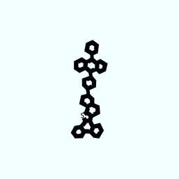 c1ccc(-c2c3ccccc3c(-c3ccc(-c4ccc5c(ccc6c5sc5c7ccccc7c7ccccc7c65)c4)cc3)c3ccccc23)cc1